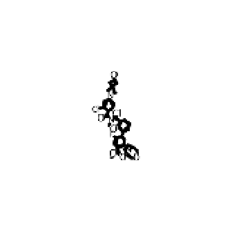 COC(=O)c1cc(F)c(-c2cccc3c2OCN(C(=O)c2c(Cl)cc(N4CC5(CC(=O)C5)C4)cc2Cl)C3)cc1N1C2CCC1COC2